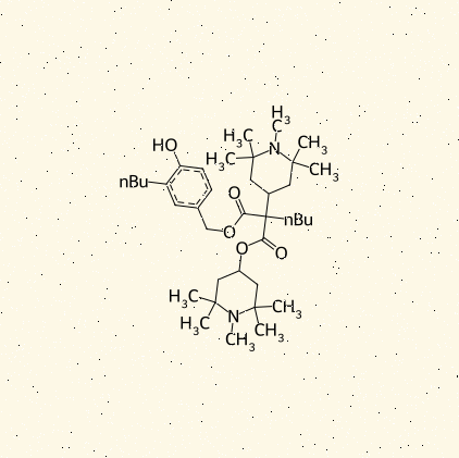 CCCCc1cc(COC(=O)C(CCCC)(C(=O)OC2CC(C)(C)N(C)C(C)(C)C2)C2CC(C)(C)N(C)C(C)(C)C2)ccc1O